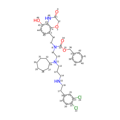 O=C1COc2c(CCN(CCN(CCCNCCc3ccc(Cl)c(Cl)c3)C3CCCCCC3)C(=O)OCc3ccccc3)ccc(O)c2N1